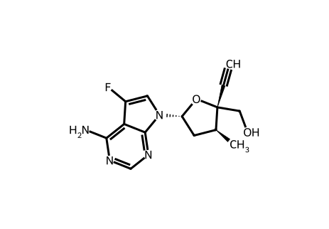 C#C[C@]1(CO)O[C@@H](n2cc(F)c3c(N)ncnc32)C[C@@H]1C